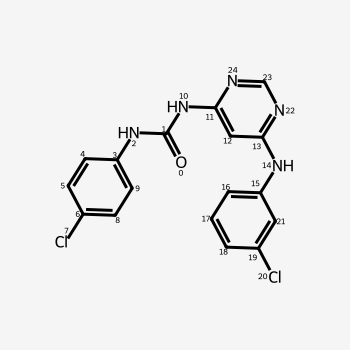 O=C(Nc1ccc(Cl)cc1)Nc1cc(Nc2cccc(Cl)c2)ncn1